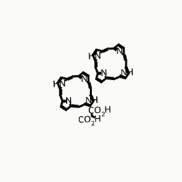 C1=Cc2cc3ccc(cc4nc(cc5ccc(cc1n2)[nH]5)C=C4)[nH]3.C1=Cc2cc3ccc(cc4nc(cc5ccc(cc1n2)[nH]5)C=C4)[nH]3.O=C(O)CC(=O)O